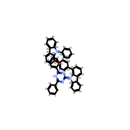 c1ccc(-c2nc(-c3ccccc3)nc(-n3c4ccccc4c4cccc(-c5ccc(-c6cccc7c8ccccc8n(-c8ccccc8)c67)cc5)c43)n2)cc1